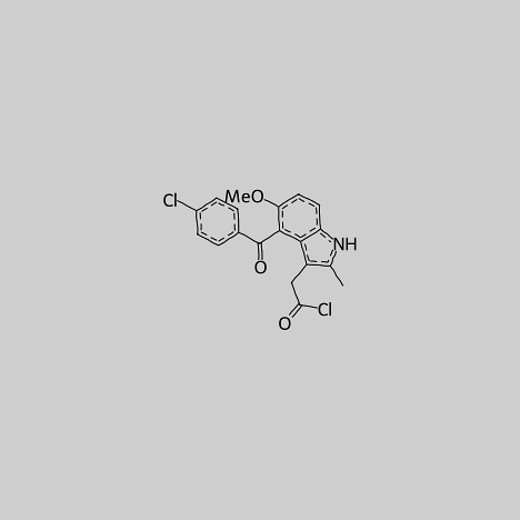 COc1ccc2[nH]c(C)c(CC(=O)Cl)c2c1C(=O)c1ccc(Cl)cc1